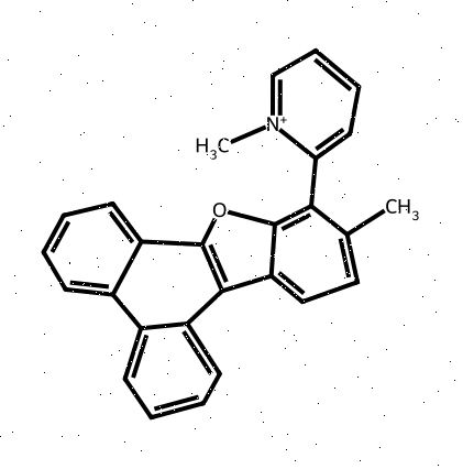 Cc1ccc2c(oc3c4ccccc4c4ccccc4c23)c1-c1cccc[n+]1C